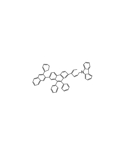 C/C=C(\C=C/Cn1c2ccccc2c2ccccc21)c1ccc2c(c1)c(-c1ccccc1)c(-c1ccccc1)c1cc(-c3cc4ccccc4cc3C3=CC=CCC3)ccc12